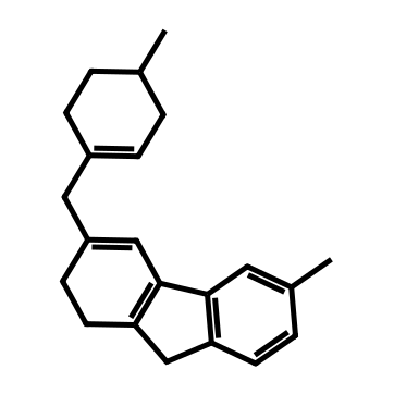 Cc1ccc2c(c1)C1=C(CCC(CC3=CCC(C)CC3)=C1)C2